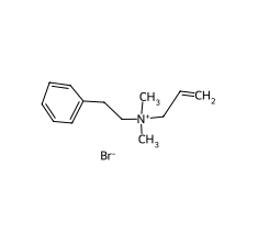 C=CC[N+](C)(C)CCc1ccccc1.[Br-]